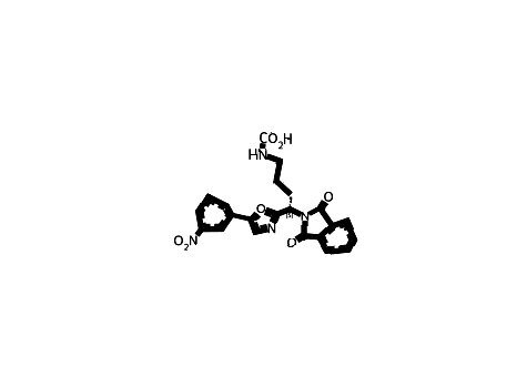 O=C(O)NCCC[C@@H](c1ncc(-c2cccc([N+](=O)[O-])c2)o1)N1C(=O)c2ccccc2C1=O